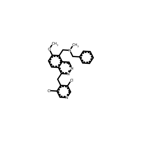 COc1ccc2c(Cc3c(Cl)cncc3Cl)nncc2c1CN(C)Cc1ccccc1